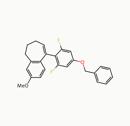 COc1ccc2c(c1)CCCC=C2c1c(F)cc(OCc2ccccc2)cc1F